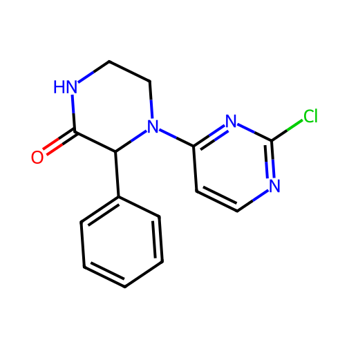 O=C1NCCN(c2ccnc(Cl)n2)C1c1ccccc1